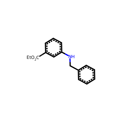 CCOC(=O)c1cccc(NCc2ccccc2)c1